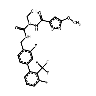 CCN(NC(=O)c1cc(OC)no1)C(=O)NCc1ccc(-c2cccc(F)c2C(F)(F)F)cc1F